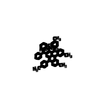 Cc1ccc(N2c3ccc(C)cc3B3c4cc(C)ccc4N(c4ccc(C)cc4)c4c3c2cc(N(c2ccccc2)c2ccccc2)c4C(C)(C)C)cc1